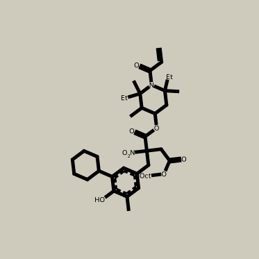 C=CC(=O)N1C(C)(CC)CC(OC(=O)C(CC(=O)OCCCCCCCC)(Cc2cc(C)c(O)c(C3CCCCC3)c2)[N+](=O)[O-])C(C)C1(C)CC